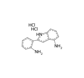 Cl.Cl.Nc1ccccc1-c1cc2c(N)cccc2[nH]1